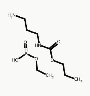 CCCOC(=O)NCCCN.CCO[PH](=O)O